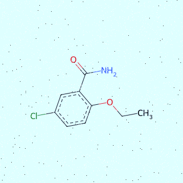 CCOc1ccc(Cl)cc1C(N)=O